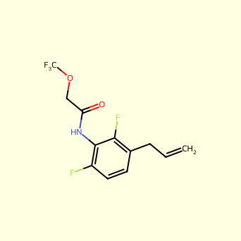 C=CCc1ccc(F)c(NC(=O)COC(F)(F)F)c1F